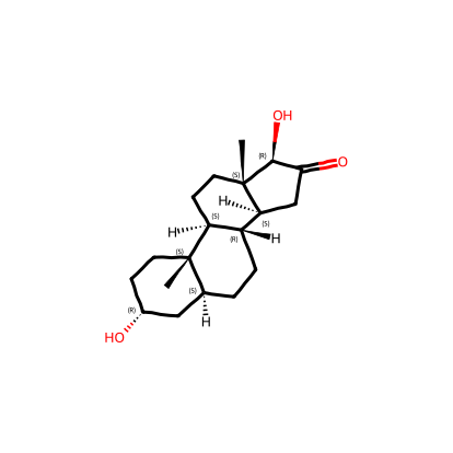 C[C@]12CC[C@@H](O)C[C@@H]1CC[C@@H]1[C@@H]2CC[C@]2(C)[C@@H](O)C(=O)C[C@@H]12